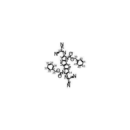 N#CC(C#N)=Nc1cc2sc3c(sc4cc(N=C(C#N)C#N)n(C(=O)OCc5ccccc5)c43)c2n1C(=O)OCc1ccccc1